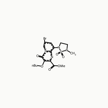 CCCCOc1c(C(=O)OC)nc2c(N3CCN(C)S3(=O)=O)cc(Br)cn2c1=O